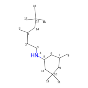 CC(CCNC1CC(C)CC(C)(C)C1)CC(C)(C)C